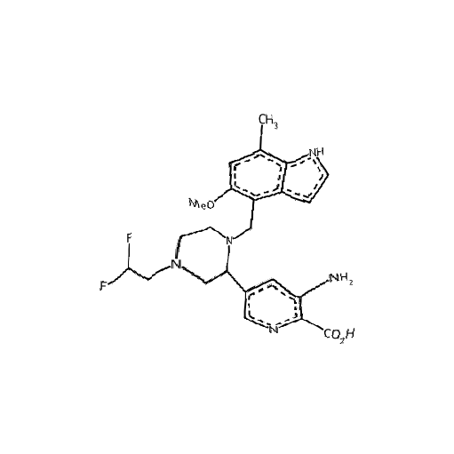 COc1cc(C)c2[nH]ccc2c1CN1CCN(CC(F)F)CC1c1cnc(C(=O)O)c(N)c1